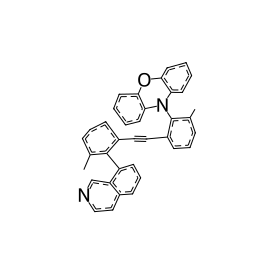 Cc1cccc(C#Cc2cccc(C)c2N2c3ccccc3Oc3ccccc32)c1-c1cccc2ccncc12